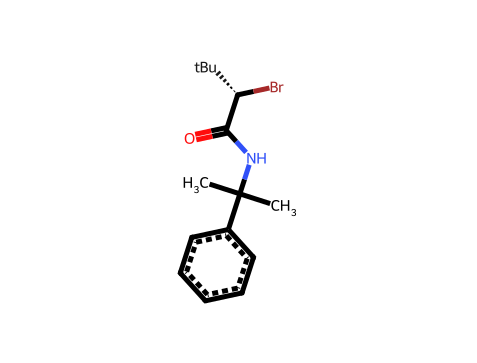 CC(C)(NC(=O)[C@@H](Br)C(C)(C)C)c1ccccc1